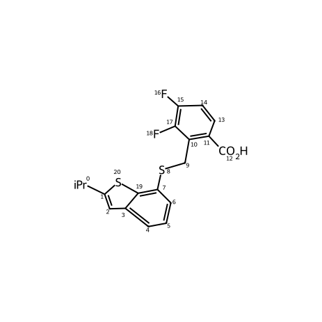 CC(C)c1cc2cccc(SCc3c(C(=O)O)ccc(F)c3F)c2s1